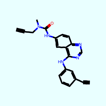 C#CCN(C)C(=O)Nc1ccc2ncnc(Nc3cccc(C#C)c3)c2c1